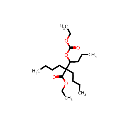 CCCCC(CCCC)(C(=O)OCC)C(CCC)OC(=O)OCC